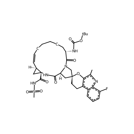 Cc1nc2c(F)cccc2c2c1O[C@]1(CC2)C[C@H]2C(=O)N[C@]3(C(=O)NS(C)(=O)=O)C[C@H]3/C=C\CCCCC[C@H](NC(=O)OC(C)(C)C)C(=O)N2C1